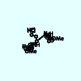 COC(=O)N[C@H](C(=O)N1CCC[C@H]1c1ncc(-c2ccc(C#CC#Cc3cnc([C@@H]4CCCN4C(=O)[C@H](NC(=O)OC)c4ccccc4)[nH]3)c(-c3cccc(-c4ccccc4)c3)c2)[nH]1)C(C)C.Cl.Cl